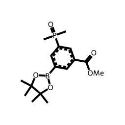 COC(=O)c1cc(B2OC(C)(C)C(C)(C)O2)cc(P(C)(C)=O)c1